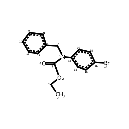 CCOC(=O)N(Cc1ccccc1)c1ccc(Br)cc1